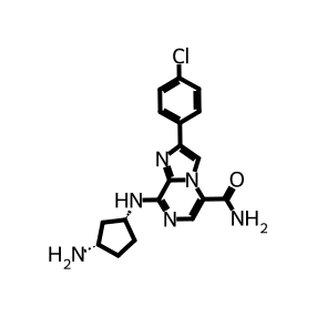 NC(=O)c1cnc(N[C@@H]2CC[C@H](N)C2)c2nc(-c3ccc(Cl)cc3)cn12